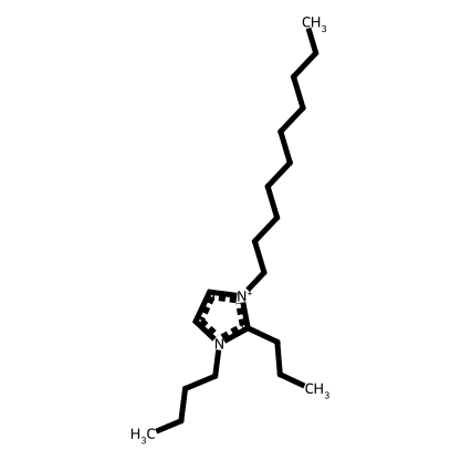 CCCCCCCCCC[n+]1ccn(CCCC)c1CCC